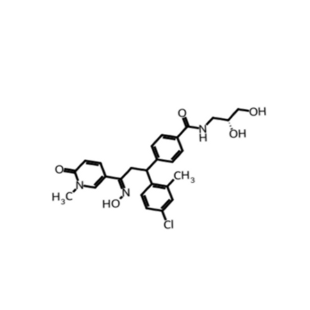 Cc1cc(Cl)ccc1C(C/C(=N/O)c1ccc(=O)n(C)c1)c1ccc(C(=O)NC[C@@H](O)CO)cc1